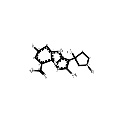 CCN1CCC(C)(c2c(C)nn3c2[nH]c2cc(F)cc(C(N)=O)c23)C1